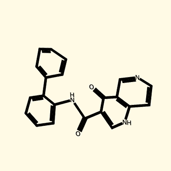 O=C(Nc1ccccc1-c1ccccc1)c1c[nH]c2ccncc2c1=O